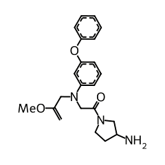 C=C(CN(CC(=O)N1CCC(N)C1)c1cccc(Oc2ccccc2)c1)OC